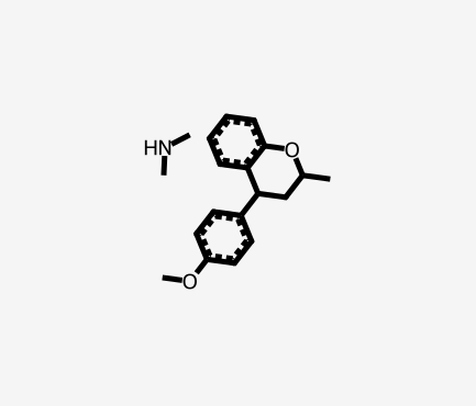 CNC.COc1ccc(C2CC(C)Oc3ccccc32)cc1